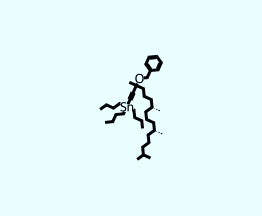 CCC[CH2][Sn]([C]#CC(C)(CCC[C@H](C)CCC[C@H](C)CCCC(C)C)OCc1ccccc1)([CH2]CCC)[CH2]CCC